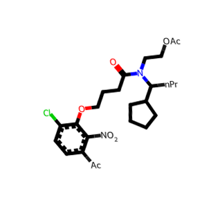 CCCC(C1CCCC1)N(CCOC(C)=O)C(=O)CCCOc1c(Cl)ccc(C(C)=O)c1[N+](=O)[O-]